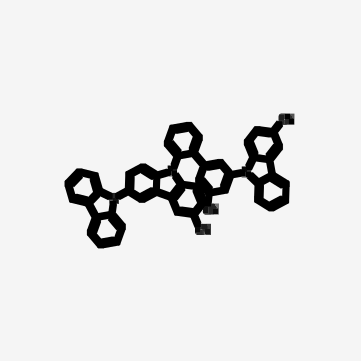 N#Cc1cc(-c2ccccc2-n2c3ccc(C#N)cc3c3cc(-n4c5ccccc5c5ccccc54)ccc32)cc(-n2c3ccccc3c3cc(C#N)ccc32)c1